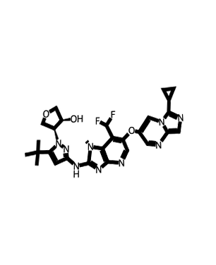 Cn1c(Nc2cc(C(C)(C)C)n([C@H]3COC[C@H]3O)n2)nc2ncc(Oc3cnc4cnc(C5CC5)n4c3)c(C(F)F)c21